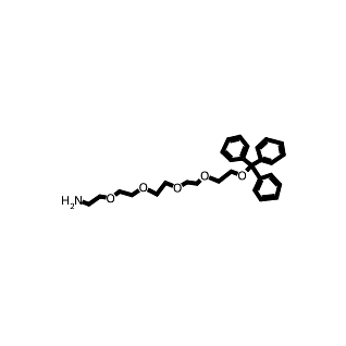 NCCOCCOCCOCCOCCOC(c1ccccc1)(c1ccccc1)c1ccccc1